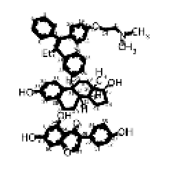 CC/C(=C(\c1ccccc1)c1ccc(OCCN(C)C)cc1)c1ccccc1.C[C@]12CC[C@@H]3c4ccc(O)cc4CC[C@H]3[C@@H]1CC[C@@H]2O.O=c1c(-c2ccc(O)cc2)coc2cc(O)cc(O)c12